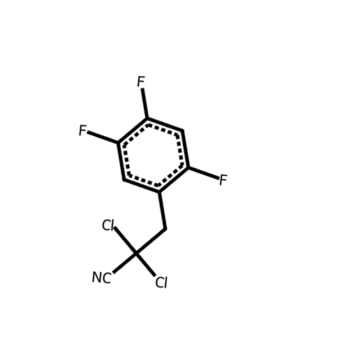 N#CC(Cl)(Cl)Cc1cc(F)c(F)cc1F